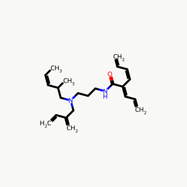 C=C/C=C\C(=C/C=C)C(=O)NCCCN(CC(=C)C=C)CC(C)/C=C\C